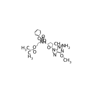 CCOc1nc(N)nc2c1ncn2[C@@H]1O[C@H](COP(=O)(NCCOC(=O)C(C)C)Oc2ccccc2)C[C@@H]1C